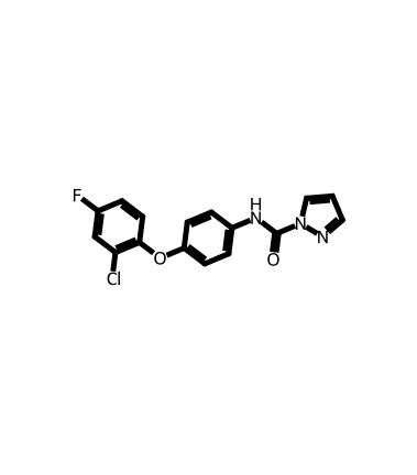 O=C(Nc1ccc(Oc2ccc(F)cc2Cl)cc1)n1cccn1